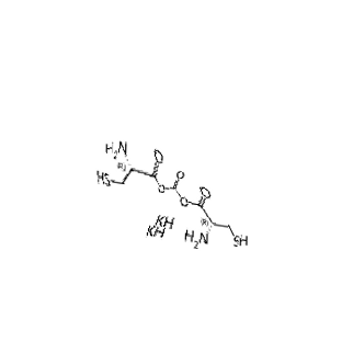 N[C@@H](CS)C(=O)OC(=O)OC(=O)[C@@H](N)CS.[KH].[KH]